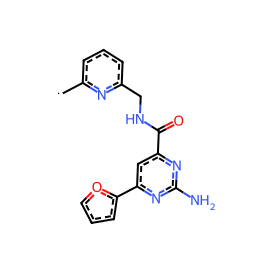 [CH2]c1cccc(CNC(=O)c2cc(-c3ccco3)nc(N)n2)n1